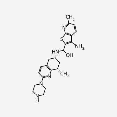 Cc1ccc2c(N)c(C(O)N[C@H]3Cc4ccc(N5CCNCC5)nc4[C@@H](C)C3)sc2n1